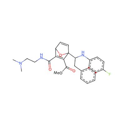 COC(=O)C1=C(C(=O)NCCN(C)C)C2C=CC1(C(Cc1ccccc1)Nc1ccc(F)cc1)O2